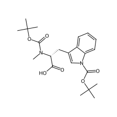 CN(C(=O)OC(C)(C)C)[C@H](Cc1cn(C(=O)OC(C)(C)C)c2ccccc12)C(=O)O